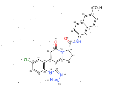 O=C(O)c1ccc2cc(NC(=O)[C@@H]3CCc4cc(-c5cc(Cl)ccc5-n5cnnn5)cc(=O)n43)ccc2c1